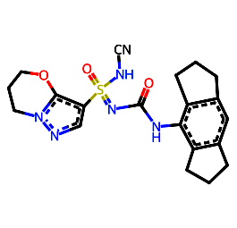 N#CNS(=O)(=NC(=O)Nc1c2c(cc3c1CCC3)CCC2)c1cnn2c1OCCC2